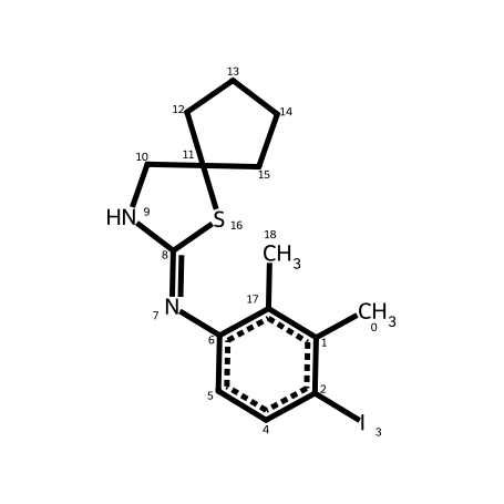 Cc1c(I)ccc(/N=C2/NCC3(CCCC3)S2)c1C